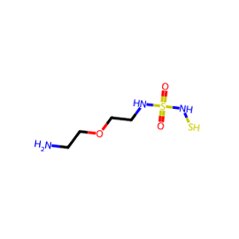 NCCOCCNS(=O)(=O)NS